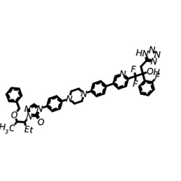 CCC(C(C)OCc1ccccc1)n1ncn(-c2ccc(N3CCN(c4ccc(-c5ccc(C(F)(F)C(O)(Cc6nnn[nH]6)c6ccccc6F)nc5)cc4)CC3)cc2)c1=O